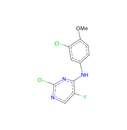 COc1ccc(Nc2nc(Cl)ncc2F)cc1Cl